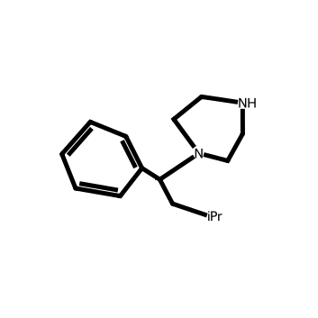 CC(C)C[C](c1ccccc1)N1CCNCC1